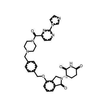 O=C1CC[C@H](N2Cc3c(OCc4ccc(CN5CCN(C(=O)c6ccnc(-n7ccnc7)n6)CC5)cc4)cccc3C2=O)C(=O)N1